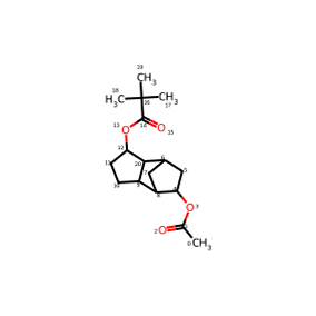 CC(=O)OC1CC2CC1C1CCC(OC(=O)C(C)(C)C)C21